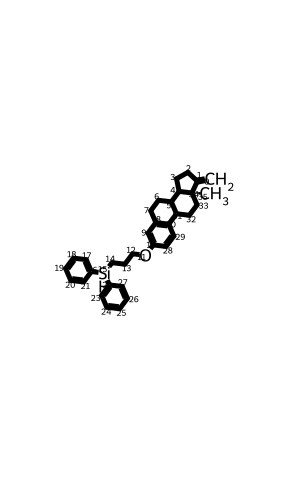 C=C1CCC2C3CCc4cc(OCCC[SiH](c5ccccc5)c5ccccc5)ccc4C3CC[C@]12C